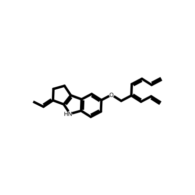 C=C/C=C\C(=C/C=C)COc1ccc2[nH]c3c(c2c1)CC/C3=C\C